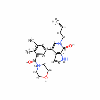 [2H]c1c(C#N)cc(-c2cn(CCC=C)c(=O)c3[nH]ccc23)cc1C(=O)N1CCOCC1